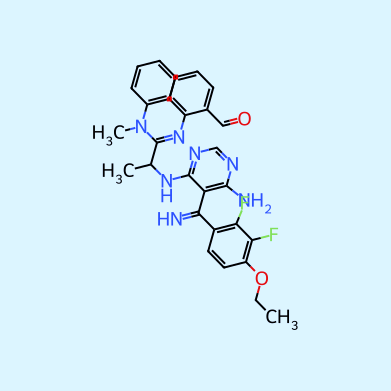 CCOc1ccc(C(=N)c2c(N)ncnc2NC(C)/C(=N/c2ccccc2C=O)N(C)c2ccccc2)c(F)c1F